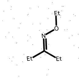 [CH2]CON=C(CC)CC